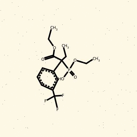 CCOC(=O)C(CC)(c1cccc(C(F)(F)F)c1)P(=O)(O)OCC